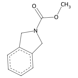 COC(=O)N1Cc2ccccc2C1